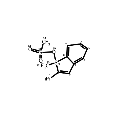 CC(C)C1=Cc2ccccc2S1(OS(=O)(=O)C(F)(F)F)C(F)(F)F